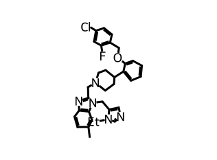 CCn1cncc1Cn1c(CN2CCC(c3ccccc3OCc3ccc(Cl)cc3F)CC2)nc2ccc(C)cc21